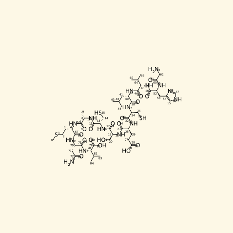 CSCC[C@H](NC(=O)[C@H](C)NC(=O)[C@H](CS)NC(=O)[C@H](CO)NC(=O)[C@H](CCC(=O)O)NC(=O)[C@H](CS)NC(=O)[C@H](CC(C)C)NC(=O)[C@@H](NC(=O)[C@H](Cc1c[nH]cn1)NC(=O)CN)C(C)C)C(=O)N[C@@H](CC(N)=O)C(=O)N[C@H](C(=O)O)C(C)C